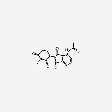 CC(=O)Nc1cccc2c1C(=O)N(C1CCC(=O)N(C)C1=O)C2=O